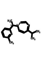 Cc1cccc([C@@H](C)[C@@H]2C=CN=C(C(C)C)C=C2)n1